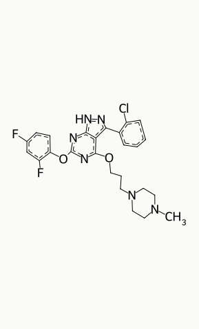 CN1CCN(CCCOc2nc(Oc3ccc(F)cc3F)nc3[nH]nc(-c4ccccc4Cl)c23)CC1